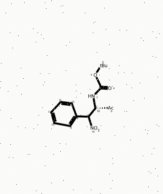 CC(=O)[C@@H](NC(=O)OC(C)(C)C)C(c1ccccc1)[N+](=O)[O-]